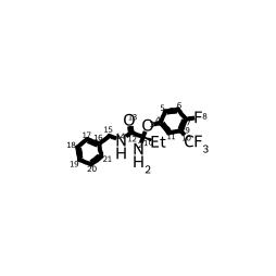 CC[C@](N)(Oc1ccc(F)c(C(F)(F)F)c1)C(=O)NCc1ccccc1